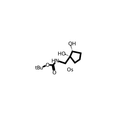 CC(C)(C)OC(=O)NC[C@]1(O)CCC[C@H]1O.[Os]